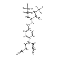 CC(C)(C)OC(=O)[C@@H](COc1ccc([C@H](CN=[N+]=[N-])N=[N+]=[N-])cc1)O[Si](C)(C)C(C)(C)C